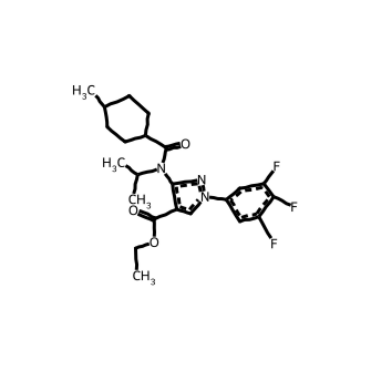 CCOC(=O)c1cn(-c2cc(F)c(F)c(F)c2)nc1N(C(=O)C1CCC(C)CC1)C(C)C